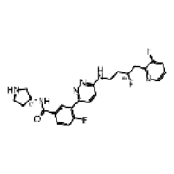 O=C(N[C@@H]1CCNC1)c1ccc(F)c(-c2ccc(NCC[C@H](F)Cc3ncccc3F)nn2)c1